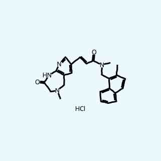 Cc1ccc2ccccc2c1CN(C)C(=O)C=Cc1cnc2c(c1)CN(C)CC(=O)N2.Cl